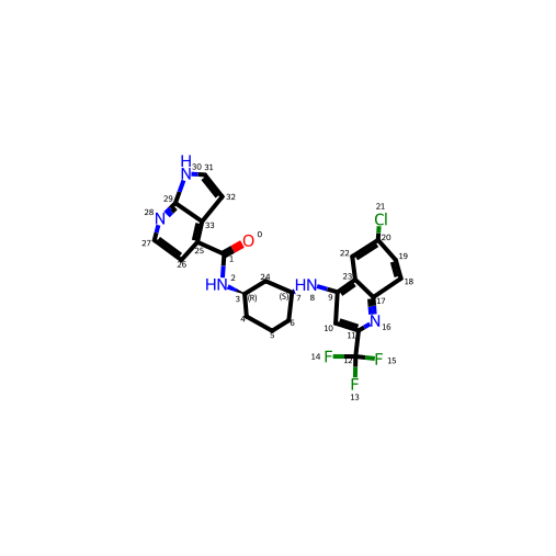 O=C(N[C@@H]1CCC[C@H](Nc2cc(C(F)(F)F)nc3ccc(Cl)cc23)C1)c1ccnc2[nH]ccc12